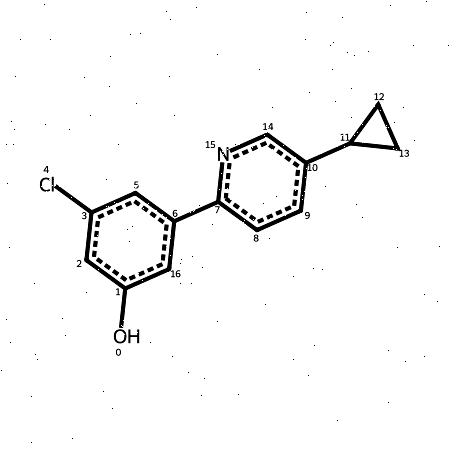 Oc1cc(Cl)cc(-c2ccc(C3CC3)cn2)c1